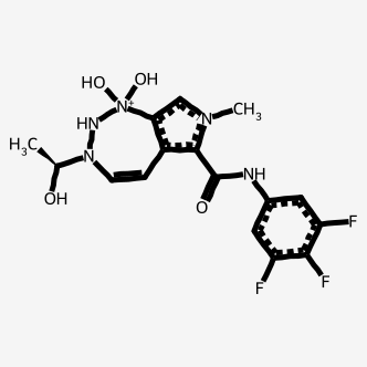 C[C@H](O)N1C=Cc2c(cn(C)c2C(=O)Nc2cc(F)c(F)c(F)c2)[N+](O)(O)N1